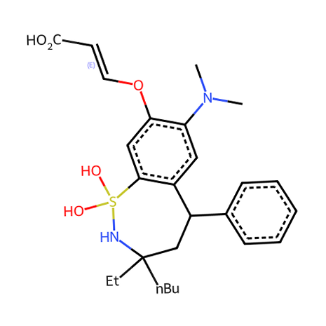 CCCCC1(CC)CC(c2ccccc2)c2cc(N(C)C)c(O/C=C/C(=O)O)cc2S(O)(O)N1